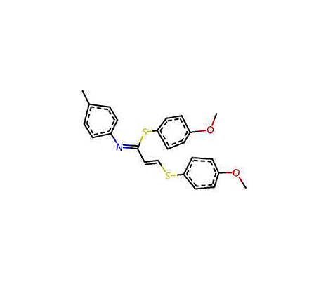 COc1ccc(SC=CC(=Nc2ccc(C)cc2)Sc2ccc(OC)cc2)cc1